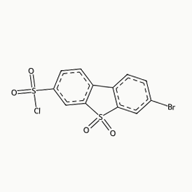 O=S(=O)(Cl)c1ccc2c(c1)S(=O)(=O)c1cc(Br)ccc1-2